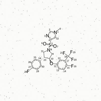 Cn1cnc(S(=O)(=O)N2C[C@@H](Oc3ccc(F)c(C(F)(F)F)c3)[C@H](c3ccc(F)cc3)C2)c1